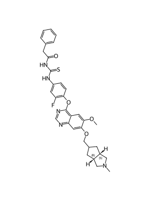 COc1cc2c(Oc3ccc(NC(=S)NC(=O)Cc4ccccc4)cc3F)ncnc2cc1OCC1C[C@@H]2CN(C)C[C@@H]2C1